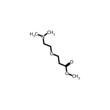 COC(=O)CCOCCN(C)C